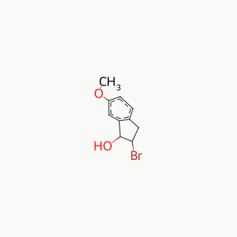 COc1ccc2c(c1)C(O)C(Br)C2